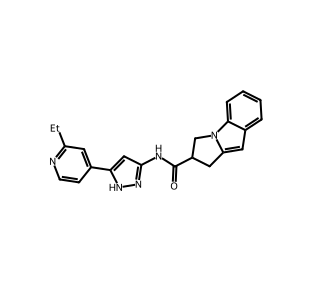 CCc1cc(-c2cc(NC(=O)C3Cc4cc5ccccc5n4C3)n[nH]2)ccn1